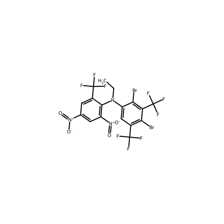 CCN(c1cc(C(F)(F)F)c(Br)c(C(F)(F)F)c1Br)c1c([N+](=O)[O-])cc([N+](=O)[O-])cc1C(F)(F)F